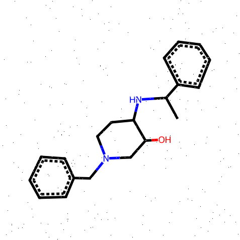 CC(NC1CCN(Cc2ccccc2)CC1O)c1ccccc1